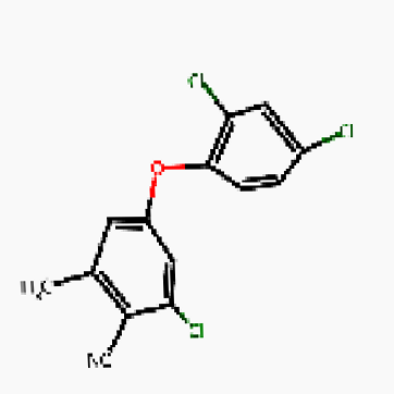 Cc1cc(Oc2ccc(Cl)cc2Cl)cc(Cl)c1C#N